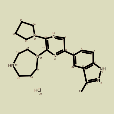 Cc1n[nH]c2ccc(-c3cnc(N4CCCC4)c(N4CCCNCC4)n3)cc12.Cl